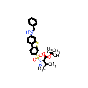 CC(C)[C@H](NS(=O)(=O)c1ccc2c(c1)sc1cc(NCc3ccccc3)ccc12)C(=O)OC(C)(C)C